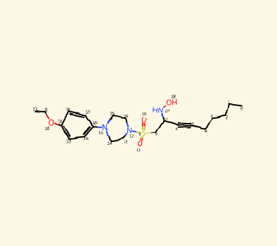 CCCCCC#CC(CS(=O)(=O)N1CCN(c2ccc(OCC)cc2)CC1)NO